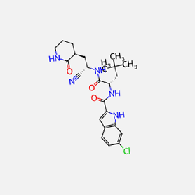 CC(C)(C)C[C@H](NC(=O)c1cc2ccc(Cl)cc2[nH]1)C(=O)N[C@H](C#N)C[C@@H]1CCCNC1=O